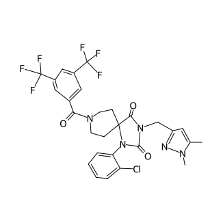 Cc1cc(CN2C(=O)N(c3ccccc3Cl)C3(CCN(C(=O)c4cc(C(F)(F)F)cc(C(F)(F)F)c4)CC3)C2=O)nn1C